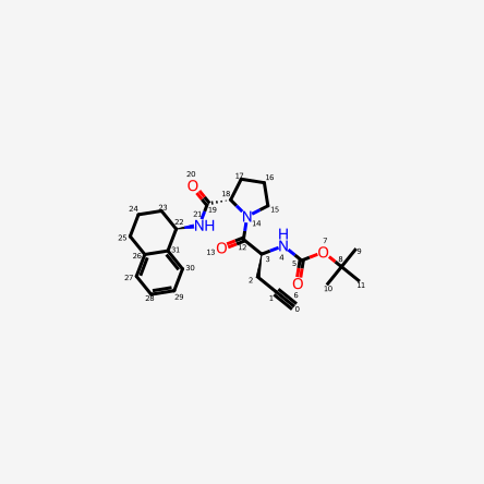 C#CC[C@H](NC(=O)OC(C)(C)C)C(=O)N1CCC[C@H]1C(=O)N[C@@H]1CCCc2ccccc21